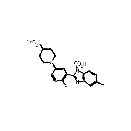 CCOC(=O)C1CCN(c2ccc(F)c(-c3nc4cc(C)ccc4n3C(=O)O)c2)CC1